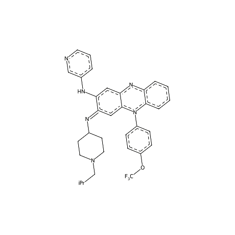 CC(C)CN1CCC(/N=c2\cc3n(-c4ccc(OC(F)(F)F)cc4)c4ccccc4nc-3cc2Nc2cccnc2)CC1